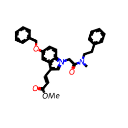 COC(=O)C=Cc1cn(CC(=O)N(C)CCc2ccccc2)c2ccc(OCc3ccccc3)cc12